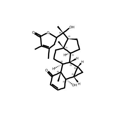 CC1=C(C)C(=O)OC([C@](C)(O)[C@H]2CC[C@H]3[C@@H]4[C@@H]5C[C@@H]5[C@@]5(O)CC=CC(=O)[C@]5(C)[C@H]4CC[C@@]32C)C1